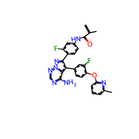 C=C(C)C(=O)Nc1ccc(-c2nn3ncnc(N)c3c2-c2ccc(Oc3cccc(C)n3)c(F)c2)c(F)c1